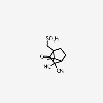 CC1(C)C2CCC1(CS(=O)(=O)O)C(=O)C2(C#N)C#N